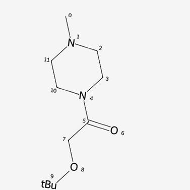 CN1CCN(C(=O)COC(C)(C)C)CC1